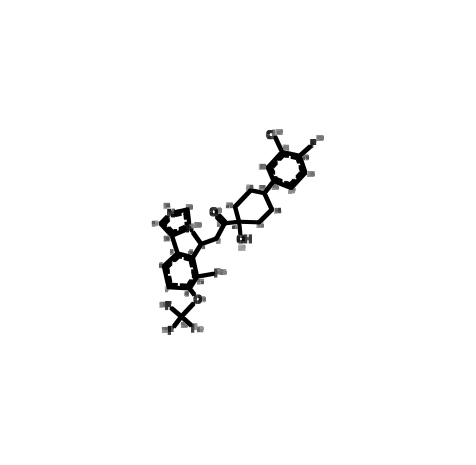 O=C(CC1c2c(ccc(OC(F)(F)F)c2F)-c2cncn21)C1(O)CCC(c2ccc(F)c(Cl)c2)CC1